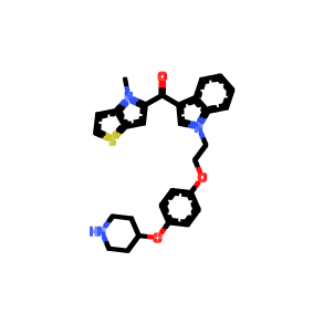 Cn1c(C(=O)c2cn(CCOc3ccc(OC4CCNCC4)cc3)c3ccccc23)cc2sccc21